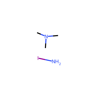 CN(C)C.NI